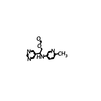 Cc1ccc(NC(COC=O)c2cncnc2)cn1